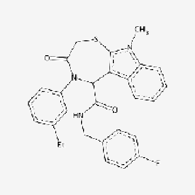 CCc1cccc(N2C(=O)CSc3c(c4ccccc4n3C)C2C(=O)NCc2ccc(F)cc2)c1